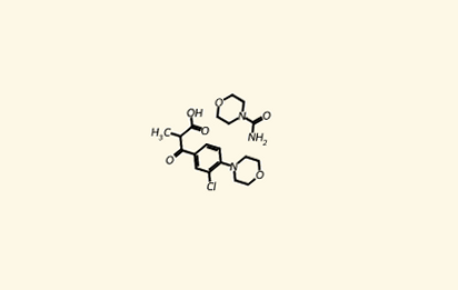 CC(C(=O)O)C(=O)c1ccc(N2CCOCC2)c(Cl)c1.NC(=O)N1CCOCC1